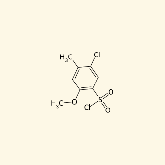 COc1cc(C)c(Cl)cc1S(=O)(=O)Cl